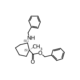 C[C@]1(C(=O)OCc2ccccc2)CCCC[C@@H]1NCc1ccccc1